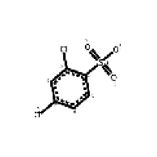 [O]S(=O)(=O)c1ccc(Cl)cc1Cl